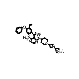 C=Cc1cc(C(=N)c2c(N)ncnc2NC2CCN(C3CN(C4CNC4)C3)CC2)ccc1Oc1ccccc1